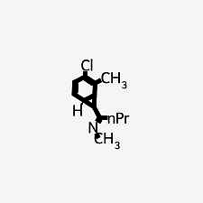 CCC/C(=N\C)C1C2C(C)=C(Cl)C=C[C@@H]21